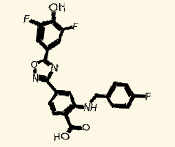 O=C(O)c1ccc(-c2noc(-c3cc(F)c(O)c(F)c3)n2)cc1NCc1ccc(F)cc1